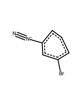 N#[N+]c1cccc(Br)c1